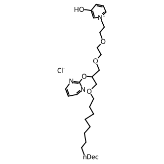 CCCCCCCCCCCCCCCCCCOCC(COCCOCC[n+]1cccc(O)c1)Oc1ncccn1.[Cl-]